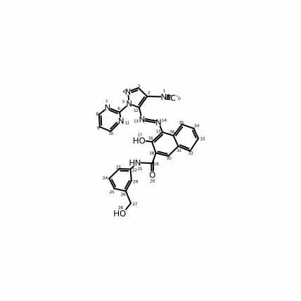 [C-]#[N+]c1cnn(-c2ncccn2)c1/N=N/c1c(O)c(C(=O)Nc2cccc(CO)c2)cc2ccccc12